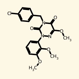 COc1cccc(-n2nc(OC)c(=O)n(Cc3ccc(Cl)cc3)c2=O)c1OC